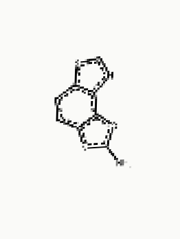 Nc1nc2ccc3scnc3c2o1